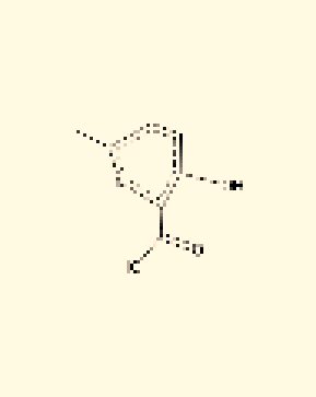 O=C(O)c1nc(I)ccc1O